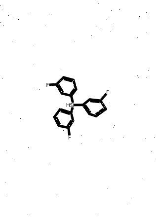 Fc1cccc([SiH](c2cccc(F)c2)c2cccc(F)c2)c1